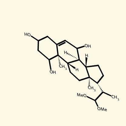 COC(OC)C(C)[C@H]1CC[C@H]2[C@@H]3C(O)C=C4CC(O)CC(O)[C@]4(C)[C@H]3CC[C@]12C